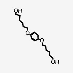 OCCCCCCOC1=CCC(OCCCCCCO)C=C1